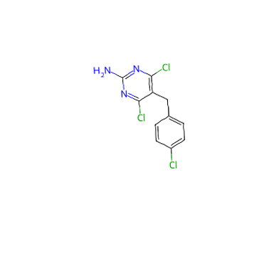 Nc1nc(Cl)c(Cc2ccc(Cl)cc2)c(Cl)n1